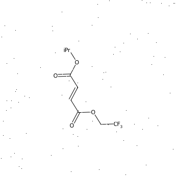 CC(C)OC(=O)C=CC(=O)OCC(F)(F)F